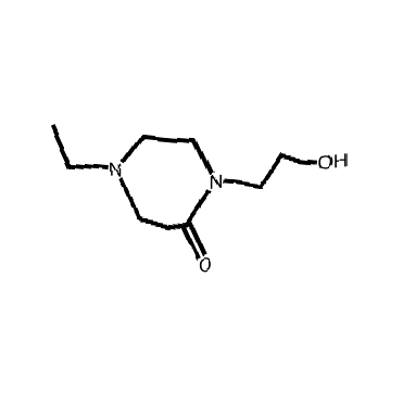 CCN1CCN(CCO)C(=O)C1